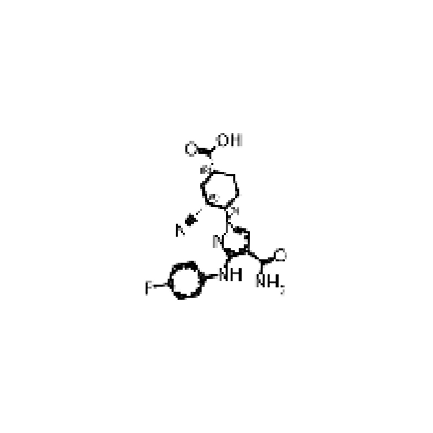 N#C[C@@H]1C[C@H](C(=O)O)CC[C@H]1n1cc(C(N)=O)c(Nc2ccc(F)cc2)n1